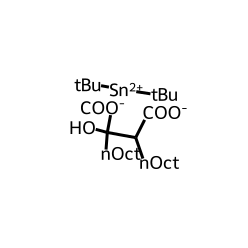 CCCCCCCCC(C(=O)[O-])C(O)(CCCCCCCC)C(=O)[O-].C[C](C)(C)[Sn+2][C](C)(C)C